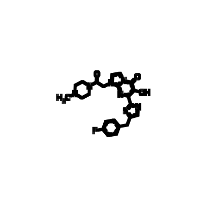 CN1CCN(C(=O)Cn2ccn3c(=O)c(O)c(-c4ncc(Cc5ccc(F)cc5)s4)nc23)CC1